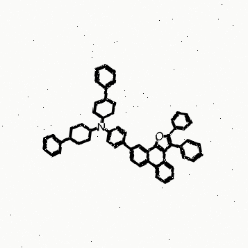 c1ccc(-c2oc3c4cc(-c5ccc(N(C6CCC(c7ccccc7)CC6)C6CCC(c7ccccc7)CC6)cc5)ccc4c4ccccc4c3c2-c2ccccc2)cc1